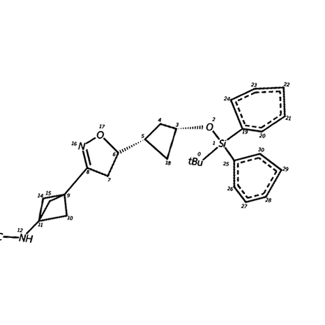 CC(C)(C)[Si](O[C@H]1C[C@@H](C2CC(C34CC(NC(=O)O)(C3)C4)=NO2)C1)(c1ccccc1)c1ccccc1